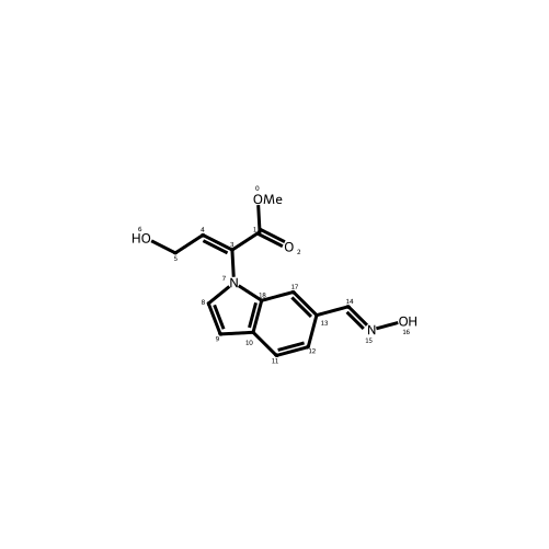 COC(=O)/C(=C/CO)n1ccc2ccc(/C=N/O)cc21